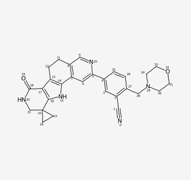 N#Cc1cc(-c2cc3c(cn2)CCc2c-3[nH]c3c2C(=O)NCC32CC2)ccc1CN1CCOCC1